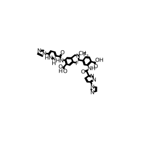 CN(Cc1cc(NC(=O)C2=CC=C(n3ccnc3)NN2)c(C(=O)O)cc1F)Cc1cc(NC(=O)c2ccc(-n3ccnc3)nn2)c(C(=O)O)cc1F